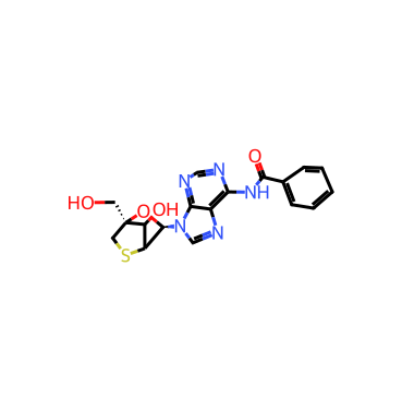 O=C(Nc1ncnc2c1ncn2[C@@H]1O[C@]2(CO)CSC1C2O)c1ccccc1